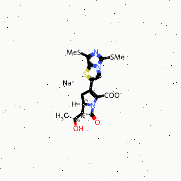 CSc1nc(SC)n2cc(C3=C(C(=O)[O-])N4C(=O)[C@H]([C@@H](C)O)[C@H]4C3)sc12.[Na+]